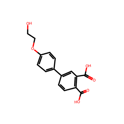 O=C(O)c1ccc(-c2ccc(OCCO)cc2)cc1C(=O)O